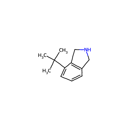 CC(C)(C)c1cccc2c1CNC2